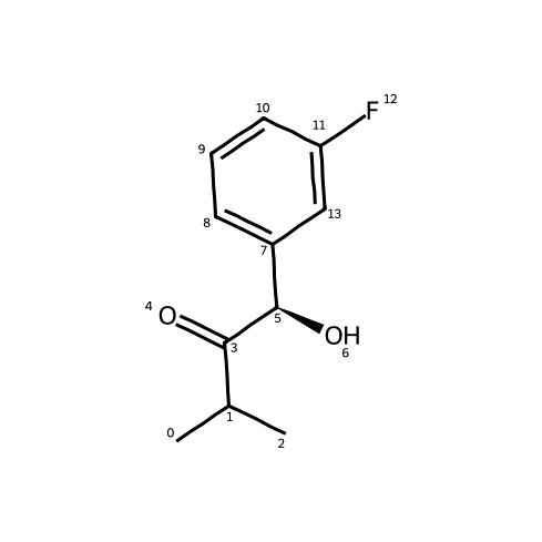 CC(C)C(=O)[C@H](O)c1cccc(F)c1